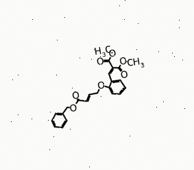 COC(=O)C(=Cc1ccccc1OC/C=C/C(=O)OCc1ccccc1)C(=O)OC